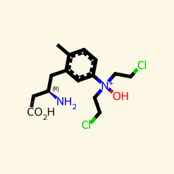 Cc1ccc([N+](O)(CCCl)CCCl)cc1C[C@@H](N)CC(=O)O